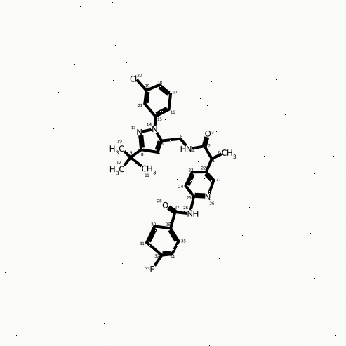 CC(C(=O)NCc1cc(C(C)(C)C)nn1-c1cccc(Cl)c1)c1ccc(NC(=O)c2ccc(F)cc2)nc1